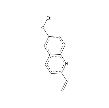 C=Cc1ccc2cc(OCC)ccc2n1